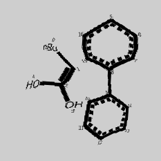 CCCCC=C(O)O.c1ccc(-c2ccccc2)cc1